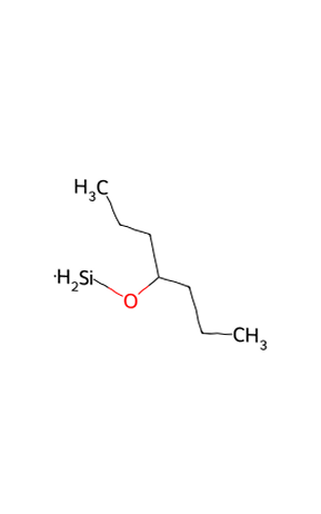 CCCC(CCC)O[SiH2]